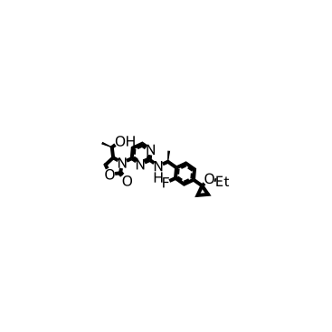 CCOC1(c2ccc([C@H](C)Nc3nccc(N4C(=O)OCC4[C@@H](C)O)n3)c(F)c2)CC1